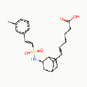 Cc1cccc(/C=C/S(=O)(=O)NC2CC3CCC2C(/C=C/CCCC(=O)O)C3)c1